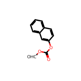 O=COC(=O)Oc1ccc2ccccc2c1